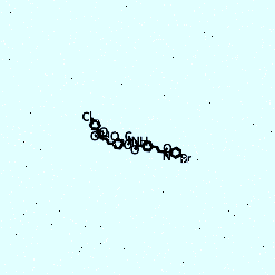 O=C(NC(Oc1ccc(CCCS(=O)(=O)c2ccc(Cl)cc2)cc1)C(=O)O)c1ccc(C=Cc2nc3cc(Br)ccc3o2)cc1